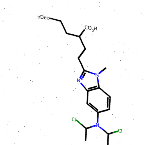 CCCCCCCCCCCCC(CCc1nc2cc(N(C(C)Cl)C(C)Cl)ccc2n1C)C(=O)O